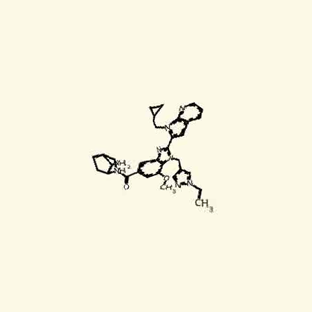 CCn1cc(Cn2c(-c3cc4cccnc4n3CC3CC3)nc3cc(C(=O)N4CC5CCC4[C@@H]5N)cc(OC)c32)cn1